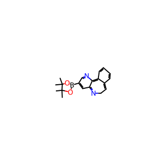 CC1(C)OB(c2cnc3c(c2)=NCC=c2ccccc2=3)OC1(C)C